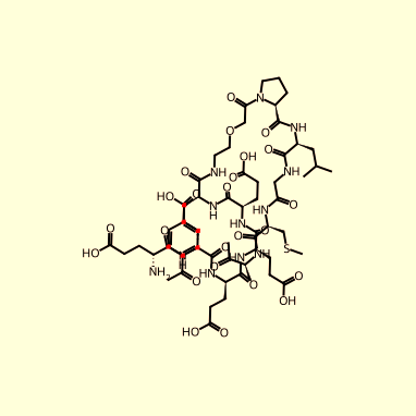 CSC[C@H](NC(=O)CNC(=O)[C@H](CC(C)C)NC(=O)[C@@H]1CCCN1C(=O)COCCNC(=O)[C@H](Cc1ccc(C(C)=O)cc1)NC(=O)[C@@H](CCC(=O)O)NC(=O)[C@@H](CCC(=O)O)NC(=O)[C@@H](CCC(=O)O)NC(=O)[C@@H](CCC(=O)O)NC(=O)[C@H](N)CCC(=O)O)C(=O)N[C@@H](C)C(C)=O